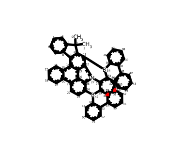 CC1(C)c2ccccc2-c2c1c1c3c4c2c2ccccc2c2ccc5c(c24)n3-c2c(cccc2B1c1ccccc1-c1ccccc1)B5c1ccccc1-c1ccccc1